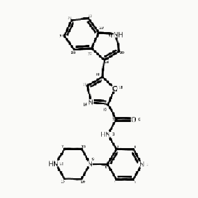 O=C(Nc1cnccc1N1CCNCC1)c1ncc(-c2c[nH]c3ccccc23)o1